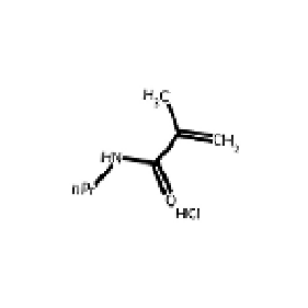 C=C(C)C(=O)NCCC.Cl